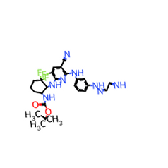 CC(C)(C)OC(=O)N[C@H]1CCCC(F)(F)[C@H]1Nc1nc(Nc2cccc(N/N=C\C=N)c2)c(C#N)cc1F